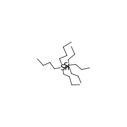 CCC[CH2][Sn]([CH2]CCC)([CH2]CCC)[Si](CCC)(CCC)CCC